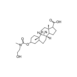 CN(CCO)C(=O)OC1CC[C@@]2(C)C(CC[C@@H]3[C@H]2CC[C@]2(C)C(C(=O)O)CC[C@@]32N)C1